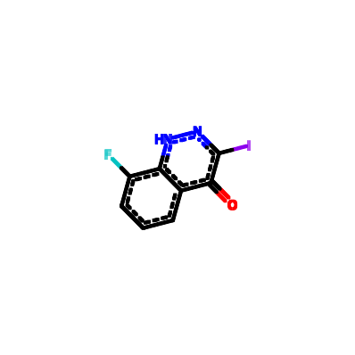 O=c1c(I)n[nH]c2c(F)cccc12